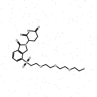 O=C1CCC(N2Cc3c(cccc3S(=O)(=O)CCOCCOCCOCCI)C2=O)C(=O)N1